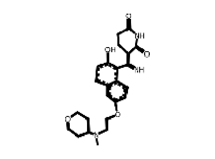 CN(CCOc1ccc2c(C(=N)C3CCC(=O)NC3=O)c(O)ccc2c1)C1CCOCC1